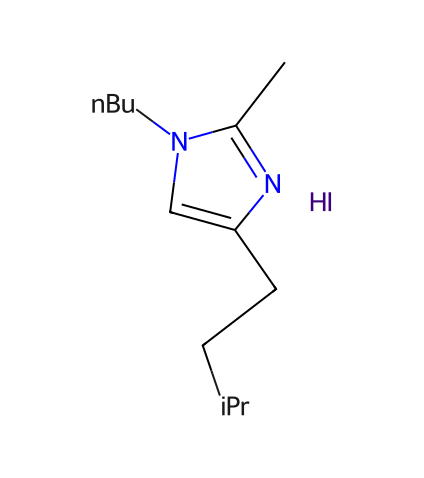 CCCCn1cc(CCC(C)C)nc1C.I